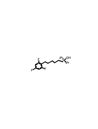 CC(C)[Si](O)(CCCCCCc1c(F)cc(F)cc1F)C(C)C